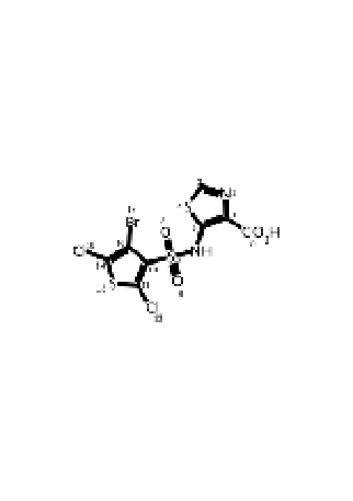 O=C(O)c1ncsc1NS(=O)(=O)c1c(Cl)sc(Cl)c1Br